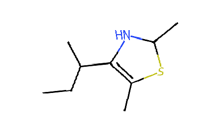 CCC(C)C1=C(C)SC(C)N1